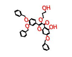 O=c1c(OCCCO)c(-c2ccc(OCc3ccccc3)c(OCc3ccccc3)c2)oc2cc(OCc3ccccc3)cc(O)c12